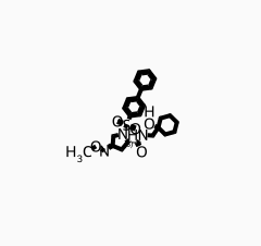 CON=C1C[C@@H](C(=O)NCC2(O)CCCCC2)N(S(=O)(=O)c2ccc(-c3ccccc3)cc2)C1